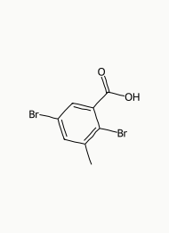 Cc1cc(Br)cc(C(=O)O)c1Br